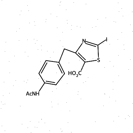 CC(=O)Nc1ccc(Cc2nc(I)sc2C(=O)O)cc1